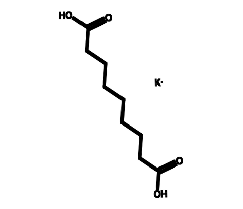 O=C(O)CCCCCCCC(=O)O.[K]